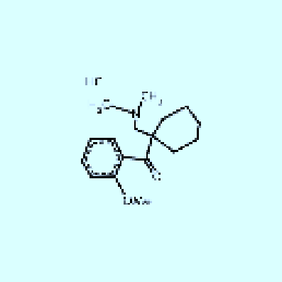 COc1ccccc1C(=O)C1(CN(C)C)CCCCC1.Cl